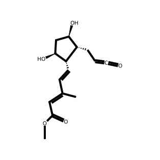 COC(=O)/C=C(C)/C=C/[C@H]1[C@@H](CC=C=O)[C@H](O)C[C@@H]1O